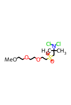 COCCOCCOCCS(=O)(=O)CC(C)(C)N(Cl)Cl